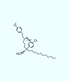 CCCCCCCCCCCCC(C#N)(CCCC(CCc1ccc(OC)cc1)/N=N/C)c1ccc(OC)cc1.Cl